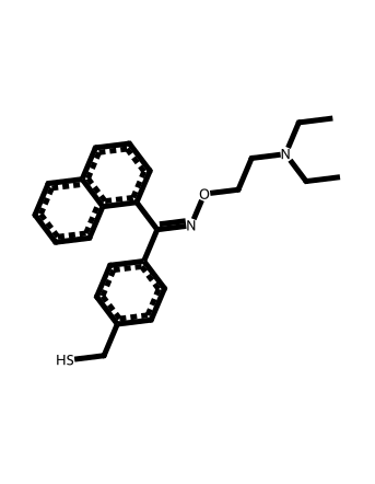 CCN(CC)CCO/N=C(/c1ccc(CS)cc1)c1cccc2ccccc12